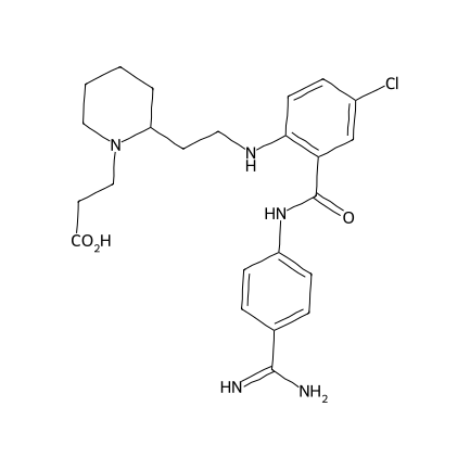 N=C(N)c1ccc(NC(=O)c2cc(Cl)ccc2NCCC2CCCCN2CCC(=O)O)cc1